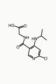 CC(C)Nc1cc(Cl)ncc1C(=O)NCC(=O)O